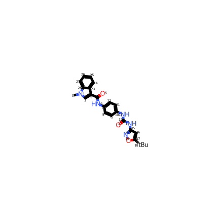 Cn1cc(C(=O)Nc2ccc(NC(=O)Nc3cc(C(C)(C)C)on3)cc2)c2ccccc21